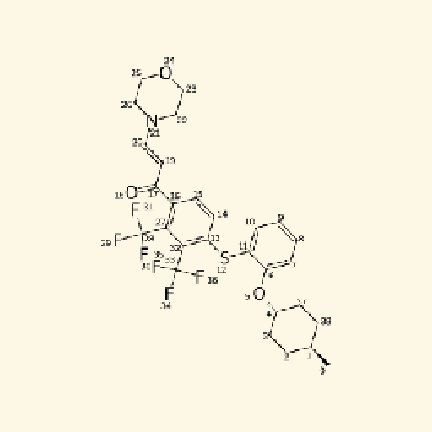 C[C@H]1CC[C@H](Oc2ccccc2Sc2ccc(C(=O)C=CN3CCOCC3)c(C(F)(F)F)c2C(F)(F)F)CC1